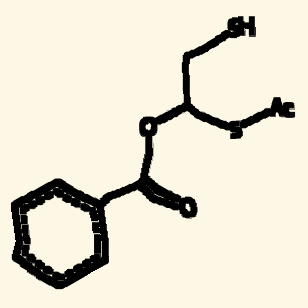 CC(=O)SC(CS)OC(=O)c1ccccc1